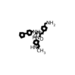 Cc1cc2cc(NC(=O)C(Cc3ccc(CN)cc3)NC(=O)Nc3ccc(-c4ccccc4)cc3)ccc2[nH]1